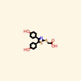 O=C(O)CSc1nc(-c2ccc(O)cc2)c(-c2ccc(O)cc2)s1